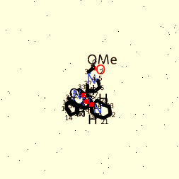 COC(=O)CN1CCC[C@H](c2nc3ccccc3n2[C@@H]2C[C@H]3CCC[C@@H](C2)N3[C@@H]2C[C@@H]3CCCC[C@@H](C3)C2)C1